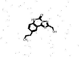 CCCc1ccc2[nH]c(=O)n3nc(CO)nc3c2c1